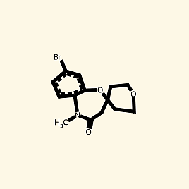 CN1C(=O)CC2(CCOCC2)Oc2cc(Br)ccc21